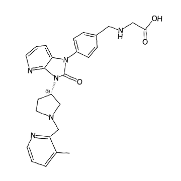 Cc1cccnc1CN1CC[C@H](n2c(=O)n(-c3ccc(CNCC(=O)O)cc3)c3cccnc32)C1